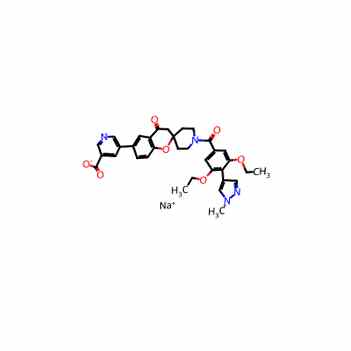 CCOc1cc(C(=O)N2CCC3(CC2)CC(=O)c2cc(-c4cncc(C(=O)[O-])c4)ccc2O3)cc(OCC)c1-c1cnn(C)c1.[Na+]